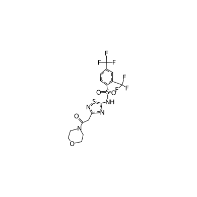 O=C(Cc1nsc(NS(=O)(=O)c2ccc(C(F)(F)F)cc2C(F)(F)F)n1)N1CCOCC1